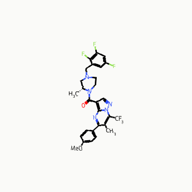 COc1ccc(-c2nc3c(C(=O)N4CCN(Cc5cc(F)cc(F)c5F)C[C@H]4C)cnn3c(C(F)(F)F)c2C)cc1